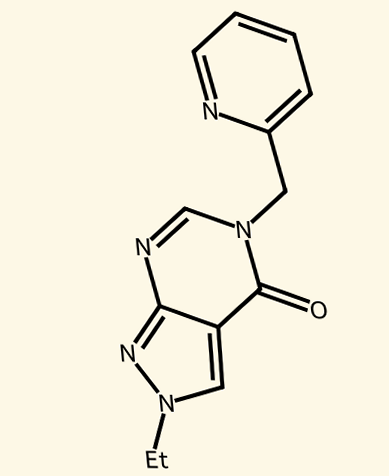 CCn1cc2c(=O)n(Cc3ccccn3)cnc2n1